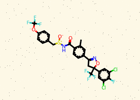 Cc1cc(C2=NOC(c3cc(Cl)c(F)c(Cl)c3)(C(F)(F)F)C2)ccc1C(=O)N[S+]([O-])Cc1ccc(OC(F)(F)F)cc1